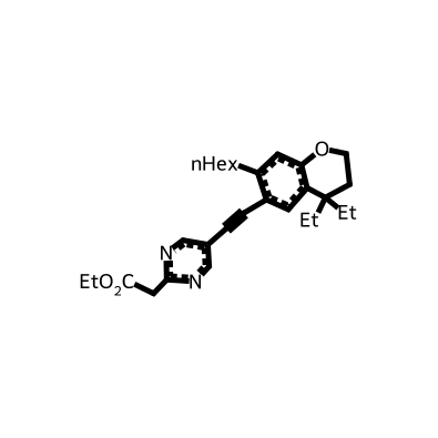 CCCCCCc1cc2c(cc1C#Cc1cnc(CC(=O)OCC)nc1)C(CC)(CC)CCO2